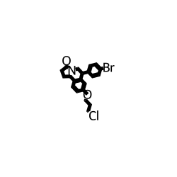 O=C1CCC2c3ccc(OCCCCl)cc3C(c3ccc(Br)cc3)CN12